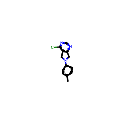 Cc1ccc(N2Cc3ncnc(Cl)c3C2)cc1